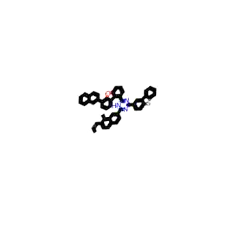 C/C=C\c1ccc2ccc(C3N=C(c4ccc5sc6ccccc6c5c4)N=C(c4cccc5oc6c(-c7ccc8ccccc8c7)cccc6c45)N3)cc2c1C